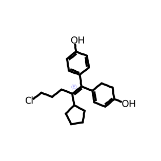 OC1=CC=C(/C(=C(/CCCCl)C2CCCC2)c2ccc(O)cc2)CC1